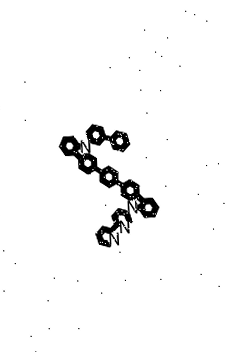 c1ccc(-c2cccc(-n3c4ccccc4c4ccc(-c5ccc(-c6ccc7c8ccccc8n(-c8ccc(-c9ccccn9)nc8)c7c6)cc5)cc43)c2)cc1